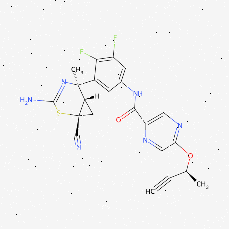 C#C[C@H](C)Oc1cnc(C(=O)Nc2cc(F)c(F)c([C@]3(C)N=C(N)S[C@@]4(C#N)C[C@@H]34)c2)cn1